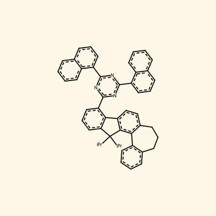 CC(C)C1(C(C)C)c2cccc(-c3nc(-c4cccc5ccccc45)nc(-c4cccc5ccccc45)n3)c2-c2ccc3c(c21)-c1ccccc1CCC3